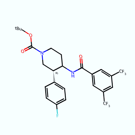 CC(C)(C)OC(=O)N1CCC(NC(=O)c2cc(C(F)(F)F)cc(C(F)(F)F)c2)[C@H](c2ccc(F)cc2)C1